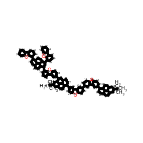 CC(C)(C)c1cc2ccc3ccc(-c4ccc5oc6ccc(-c7ccc8oc9ccc(-c%10ccc%11cc(-c%12ccc%13oc%14c(-c%15cc(-c%16cccc%17c%16oc%16ccccc%16%17)c%16ccc%17c(-c%18cccc%19c%18oc%18ccccc%18%19)ccc%18ccc%15c%16c%18%17)cccc%14c%13c%12)c%12cc(C(C)(C)C)cc%13ccc%10c%11c%13%12)cc9c8c7)cc6c5c4)c4ccc(c1)c2c34